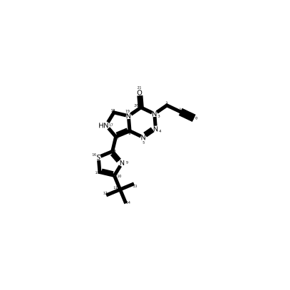 C#CCN1N=NC2=C(c3nc(C(C)(C)C)cs3)NCN2C1=O